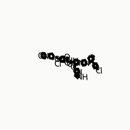 CC1(C)C=C(c2ccc(Cl)cc2)C(CN2CCN(c3ccc(C(=O)NS(=O)(=O)c4ccc(OC[C@H]5CC[C@H](N6CCOCC6)CC5)c(Cl)c4)c(Oc4cnc5[nH]ccc5c4)c3)CC2)CC1